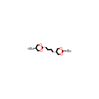 CCCC[C@H]1CO[C@H](CCCC[C@H]2CO[C@H](CCCC)OC2)OC1